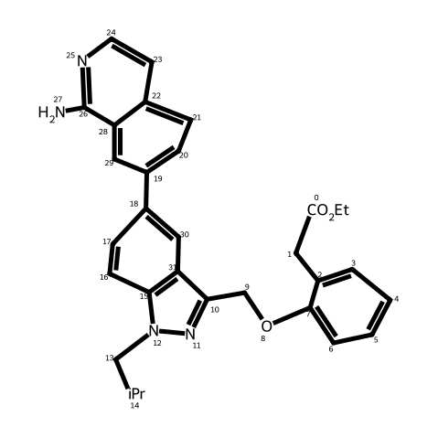 CCOC(=O)Cc1ccccc1OCc1nn(CC(C)C)c2ccc(-c3ccc4ccnc(N)c4c3)cc12